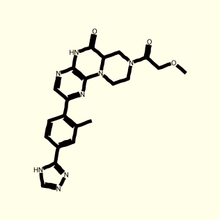 COCC(=O)N1CCN2c3nc(-c4ccc(-c5nnc[nH]5)cc4C)cnc3NC(=O)C2C1